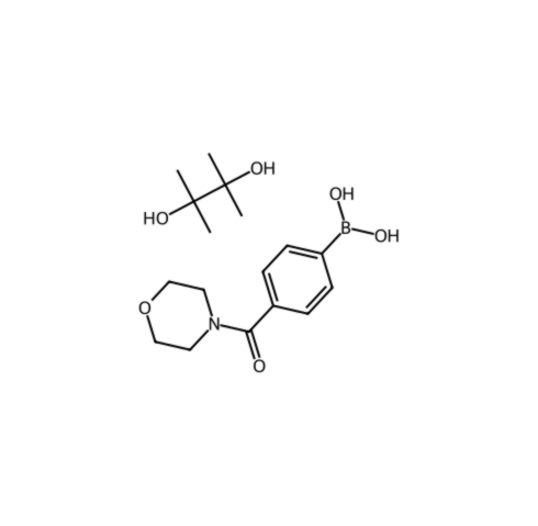 CC(C)(O)C(C)(C)O.O=C(c1ccc(B(O)O)cc1)N1CCOCC1